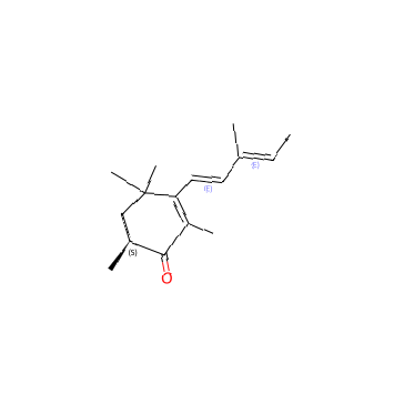 C/C=C(C)/C=C/C1=C(C)C(=O)[C@@H](C)CC1(C)C